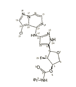 CC(C)NC(=O)O[C@@H]1CO[C@H](c2cc(Nc3nccn4ncc(Cl)c34)n[nH]2)[C@@H]1F